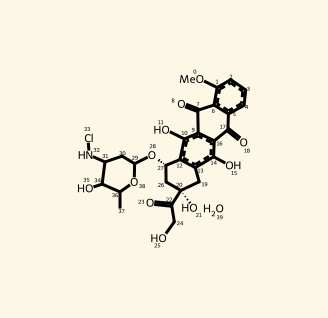 COc1cccc2c1C(=O)c1c(O)c3c(c(O)c1C2=O)C[C@@](O)(C(=O)CO)C[C@@H]3OC1CC(NCl)C(O)C(C)O1.O